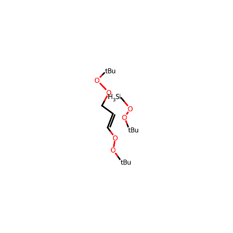 CC(C)(C)OOC=CCOOC(C)(C)C.CC(C)(C)OO[SiH3]